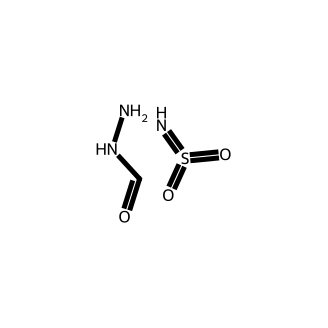 N=S(=O)=O.NNC=O